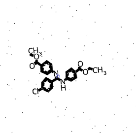 CCOC(=O)c1ccc(/N=C(/Nc2ccc(C(=O)OCC)cc2)c2ccc(Cl)cc2)cc1